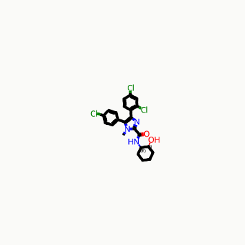 Cn1c(C(=O)N[C@@H]2CCCC[C@H]2O)nc(-c2ccc(Cl)cc2Cl)c1-c1ccc(Cl)cc1